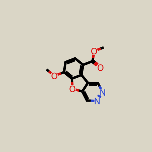 COC(=O)c1ccc(OC)c2oc3cnncc3c12